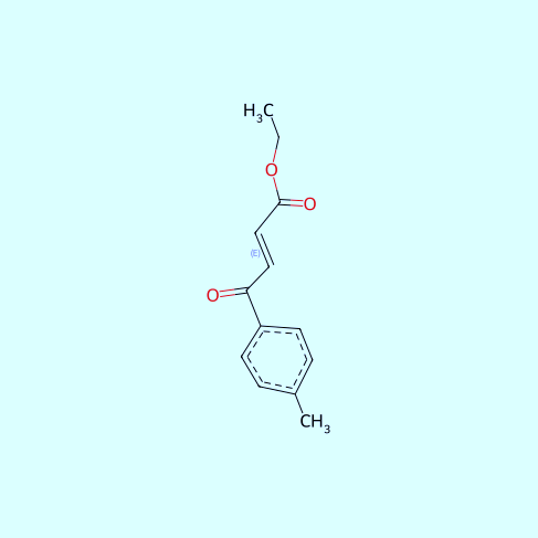 CCOC(=O)/C=C/C(=O)c1ccc(C)cc1